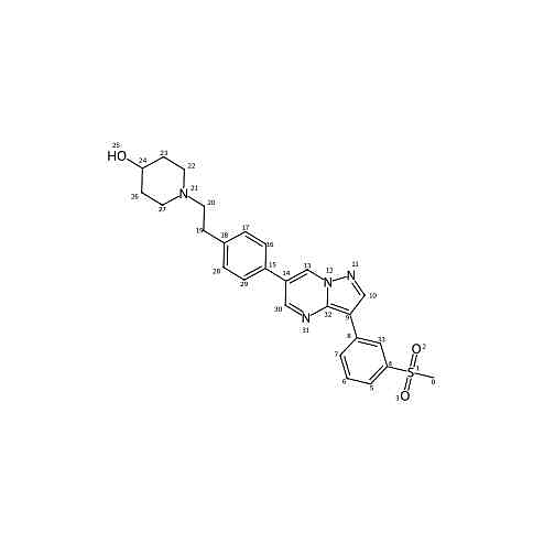 CS(=O)(=O)c1cccc(-c2cnn3cc(-c4ccc(CCN5CCC(O)CC5)cc4)cnc23)c1